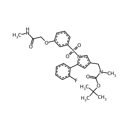 CNC(=O)COc1cccc(S(=O)(=O)n2cc(CN(C)C(=O)OC(C)(C)C)cc2-c2ccccc2F)c1